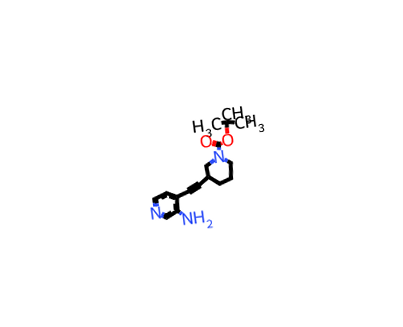 CC(C)(C)OC(=O)N1CCCC(C#Cc2ccncc2N)C1